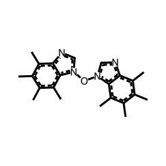 Cc1c(C)c(C)c2c(ncn2On2cnc3c(C)c(C)c(C)c(C)c32)c1C